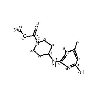 Cc1cc(Cl)nc(NC2CCN(C(=O)OC(C)(C)C)CC2)n1